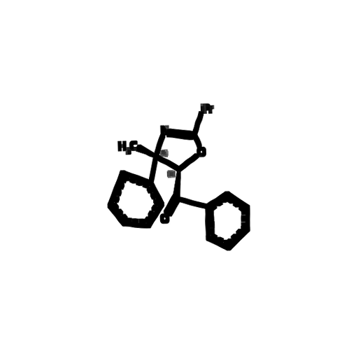 CC(C)C1=N[C@@](C)(c2ccccc2)[C@H](C(=O)c2ccccc2)O1